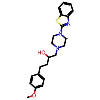 COc1ccc(CCC(O)CN2C[CH]N(c3nc4ccccc4s3)CC2)cc1